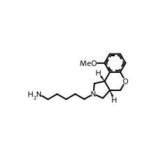 COc1cccc2c1[C@H]1CN(CCCCCN)C[C@H]1CO2